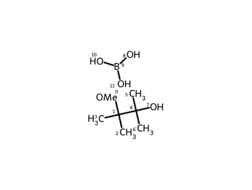 COC(C)(C)C(C)(C)O.OB(O)O